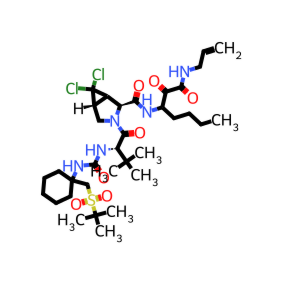 C=CCNC(=O)C(=O)C(CCCC)NC(=O)[C@@H]1C2[C@H](CN1C(=O)[C@@H](NC(=O)NC1(CS(=O)(=O)C(C)(C)C)CCCCC1)C(C)(C)C)C2(Cl)Cl